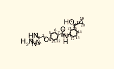 N=C(COc1ccc(C(=O)Nc2cccc(C(O)=C3CC3)c2)cc1)/N=N\N